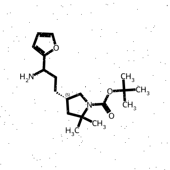 CC(C)(C)OC(=O)N1C[C@@H](CCC(N)c2ccco2)CC1(C)C